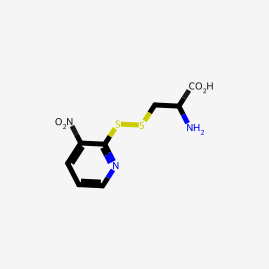 NC(CSSc1ncccc1[N+](=O)[O-])C(=O)O